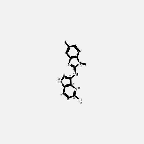 Cc1ccc2c(c1)nc(Nc1c[nH]c3ccc(Cl)nc13)n2C